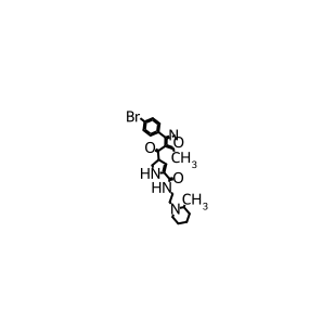 Cc1onc(-c2ccc(Br)cc2)c1C(=O)C1C=C(C(=O)NCCN2CCCCC2C)NC1